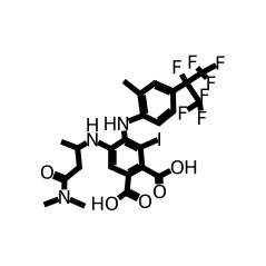 Cc1cc(C(F)(C(F)(F)F)C(F)(F)F)ccc1Nc1c(NC(C)CC(=O)N(C)C)cc(C(=O)O)c(C(=O)O)c1I